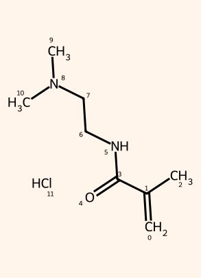 C=C(C)C(=O)NCCN(C)C.Cl